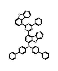 c1ccc(-c2ccc(N(c3ccc(-c4ccccc4)cc3)c3ccc(-c4nc(-c5ccccc5)nc(-c5cccc6oc7ccccc7c56)n4)c4c3oc3ccccc34)cc2)cc1